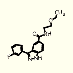 CCOCCNC(=O)c1ccc2[nH]nc(-c3cccc(F)c3)c2c1